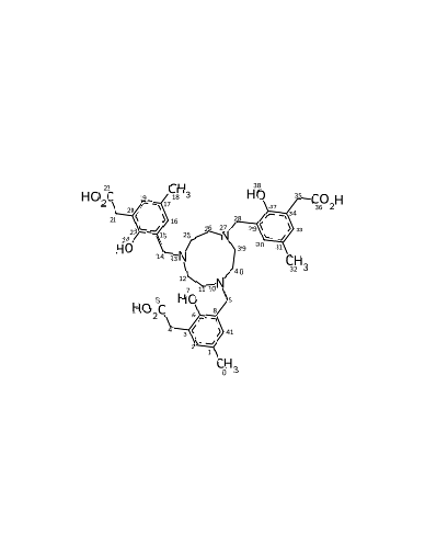 Cc1cc(CC(=O)O)c(O)c(CN2CCN(Cc3cc(C)cc(CC(=O)O)c3O)CCN(Cc3cc(C)cc(CC(=O)O)c3O)CC2)c1